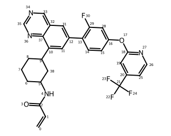 C=CC(=O)NC1CCCC(c2cc(-c3ccc(Oc4cc(C(F)(F)F)ccn4)cc3F)cc3cncnc23)C1